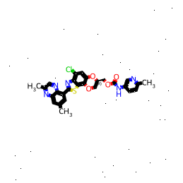 Cc1cc(-c2nc3c(Cl)cc4c(c3s2)OC[C@H](COC(=O)Nc2ccc(C)nc2)O4)c2ncc(C)nc2c1